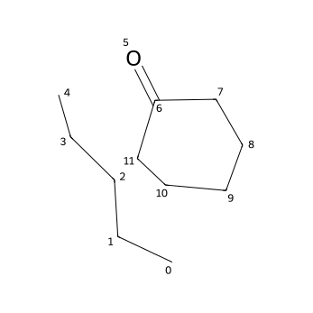 CCCCC.O=C1CCCCC1